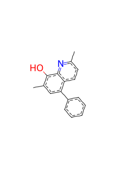 Cc1ccc2c(-c3ccccc3)cc(C)c(O)c2n1